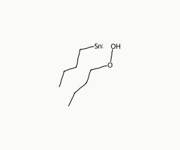 CCCCOO.CCC[CH2][Sn]